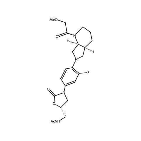 COCC(=O)N1CCC[C@H]2CN(c3ccc(N4C[C@H](CNC(C)=O)OC4=O)cc3F)C[C@H]21